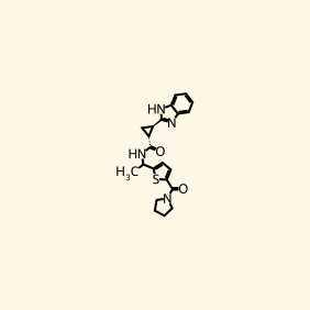 CC(NC(=O)[C@@H]1C[C@H]1c1nc2ccccc2[nH]1)c1ccc(C(=O)N2CCCC2)s1